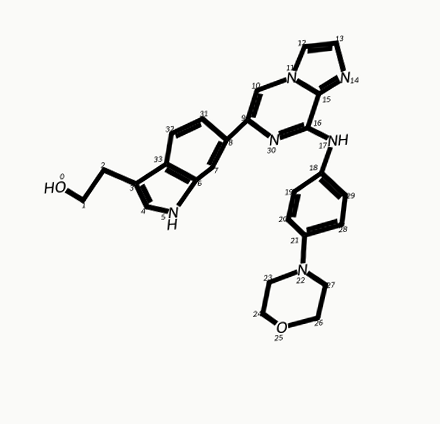 OCCc1c[nH]c2cc(-c3cn4ccnc4c(Nc4ccc(N5CCOCC5)cc4)n3)ccc12